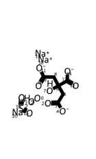 O.O.O=C([O-])CC(O)(CC(=O)[O-])C(=O)[O-].O=S=O.[Na+].[Na+].[Na+]